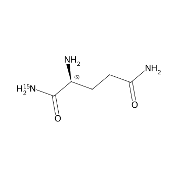 NC(=O)CC[C@H](N)C([15NH2])=O